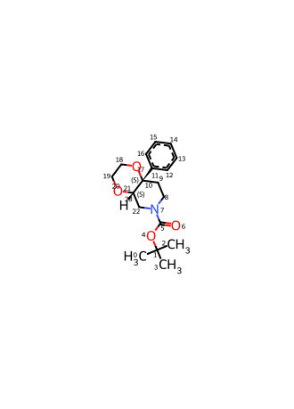 CC(C)(C)OC(=O)N1CC[C@@]2(c3ccccc3)OCCO[C@H]2C1